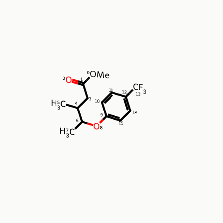 COC(=O)CC(C)C(C)Oc1ccc(C(F)(F)F)cc1